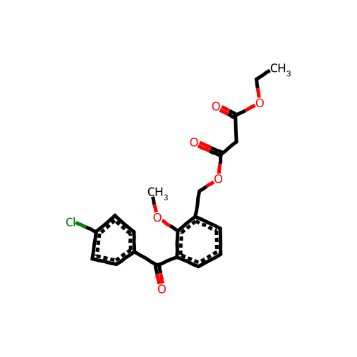 CCOC(=O)CC(=O)OCc1cccc(C(=O)c2ccc(Cl)cc2)c1OC